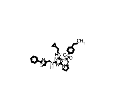 CCCc1ccc(S(=O)(=O)NC[C@H]2CCCN2c2nc(NCCC3CC3)nc(NCc3csc(-c4ccccc4)n3)n2)cc1